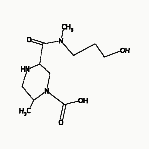 CC1CNC(C(=O)N(C)CCCO)CN1C(=O)O